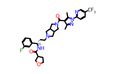 Cc1nn(-c2ccc(C(F)(F)F)cn2)c(C)c1C(=O)N1CC2CN(CC[C@H](NC(=O)C3CCOC3)c3cccc(F)c3)CC2C1